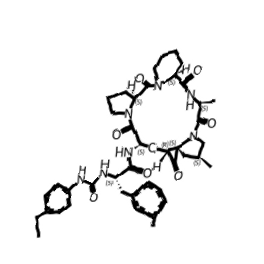 CCc1ccc(NC(=O)N[C@@H](Cc2cccc(C)c2)C(=O)N[C@H]2C[C@H]3C(=O)[C@]34C[C@H](C)CN4C(=O)[C@H](C)NC(=O)[C@@H]3CCCCN3C(=O)[C@@H]3CCCN3C2=O)cc1